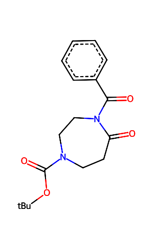 CC(C)(C)OC(=O)N1CCC(=O)N(C(=O)c2ccccc2)CC1